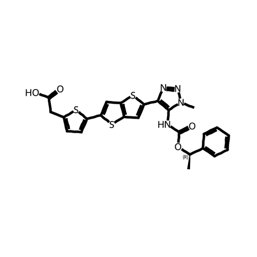 C[C@@H](OC(=O)Nc1c(-c2cc3sc(-c4ccc(CC(=O)O)s4)cc3s2)nnn1C)c1ccccc1